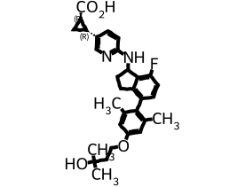 Cc1cc(OCCC(C)(C)O)cc(C)c1-c1ccc(F)c2c1CCC2Nc1ccc([C@@H]2C[C@H]2C(=O)O)cn1